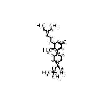 CCN(CC)CCCc1cc(Cl)cc(N2CCN(C(=O)OC(C)(C)C)CC2)c1C